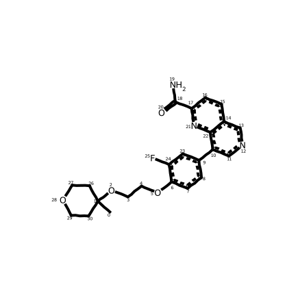 CC1(OCCOc2ccc(-c3cncc4ccc(C(N)=O)nc34)cc2F)CCOCC1